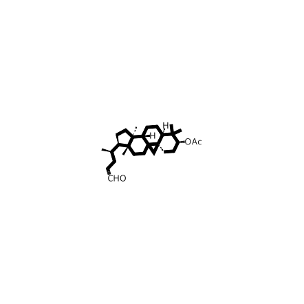 CC(=O)O[C@H]1CC[C@]23CC24CC[C@]2(C)[C@@H]([C@H](C)CCC=O)CC[C@@]2(C)[C@@H]4CC[C@H]3C1(C)C